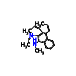 C/C=C\c1c(/N=C\C)c(NC)c2ccccc2c1/C=C\C